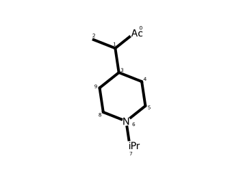 CC(=O)C(C)C1CCN(C(C)C)CC1